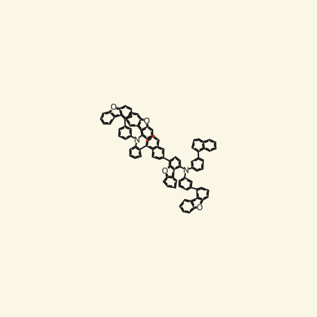 c1cc(-c2cccc3oc4ccccc4c23)cc(N(c2ccccc2-c2cccc3cc(-c4ccc(N(c5cccc(-c6cccc7ccccc67)c5)c5cccc(-c6cccc7oc8ccccc8c67)c5)c5c4oc4ccccc45)ccc23)c2cccc3oc4ccccc4c23)c1